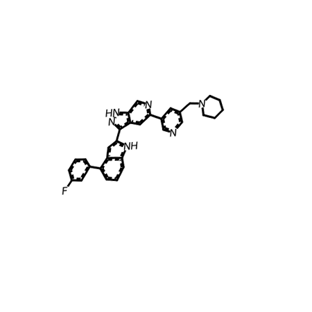 Fc1cccc(-c2cccc3[nH]c(-c4n[nH]c5cnc(-c6cncc(CN7CCCCC7)c6)cc45)cc23)c1